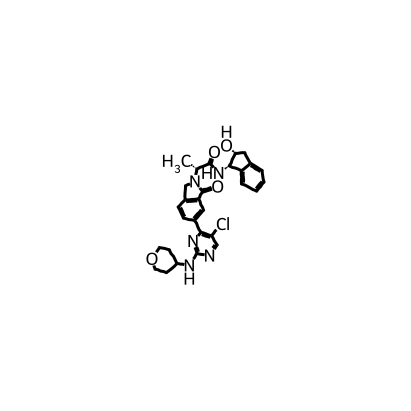 C[C@H](C(=O)N[C@H]1c2ccccc2C[C@H]1O)N1Cc2ccc(-c3nc(NC4CCOCC4)ncc3Cl)cc2C1=O